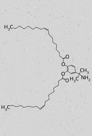 CCCCCCCC/C=C\CCCCCCCC(=O)Oc1ccc(C(C)(C)N)cc1OC(=O)CCCCCCC/C=C\CCCCCCCC